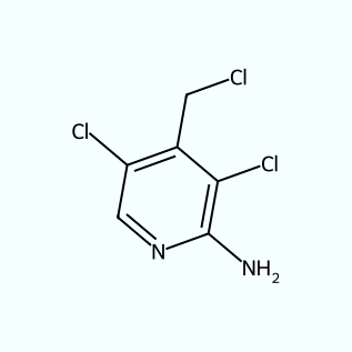 Nc1ncc(Cl)c(CCl)c1Cl